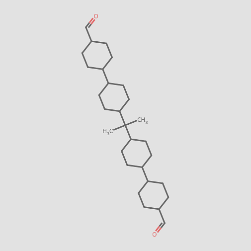 CC(C)(C1CCC(C2CCC(C=O)CC2)CC1)C1CCC(C2CCC(C=O)CC2)CC1